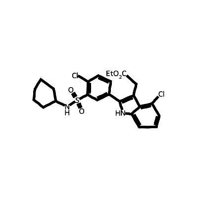 CCOC(=O)Cc1c(-c2ccc(Cl)c(S(=O)(=O)NC3CCCCC3)c2)[nH]c2cccc(Cl)c12